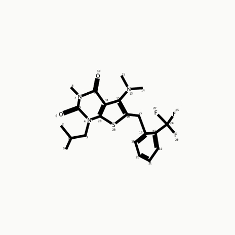 CC(C)Cn1c(=O)n(C)c(=O)c2c(N(C)C)c(Cc3ccccc3C(F)(F)F)sc21